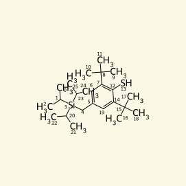 CC(C)[Si](Cc1cc(C(C)(C)C)c(S)c(C(C)(C)C)c1)(C(C)C)C(C)C